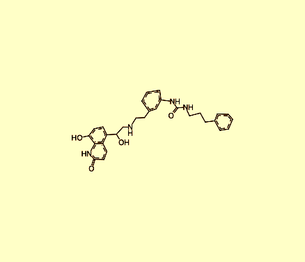 O=C(NCCCc1ccccc1)Nc1cccc(CCNCC(O)c2ccc(O)c3[nH]c(=O)ccc23)c1